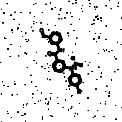 O=Nc1cccc(NC(=O)c2cccc(N(c3ccc(Br)cc3)[SH](=O)=O)c2)c1